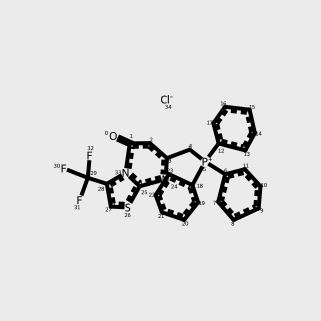 O=c1cc(C[P+](c2ccccc2)(c2ccccc2)c2ccccc2)nc2scc(C(F)(F)F)n12.[Cl-]